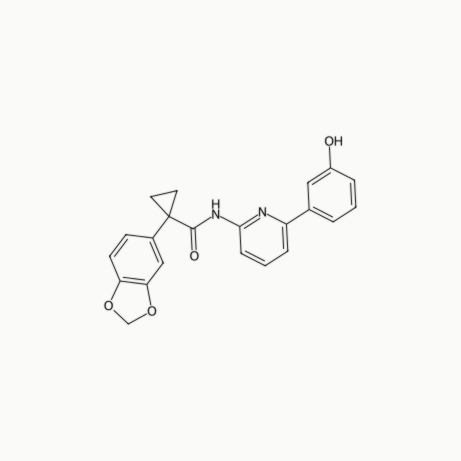 O=C(Nc1cccc(-c2cccc(O)c2)n1)C1(c2ccc3c(c2)OCO3)CC1